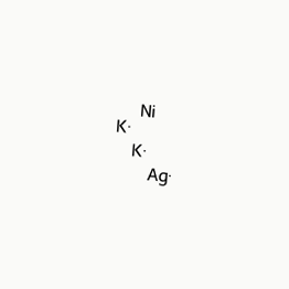 [Ag].[K].[K].[Ni]